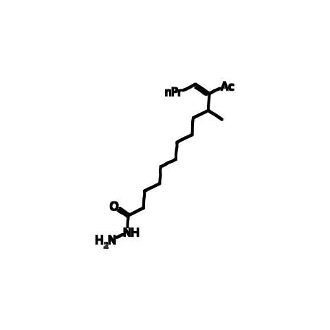 CCCC=C(C(C)=O)C(C)CCCCCCCCC(=O)NN